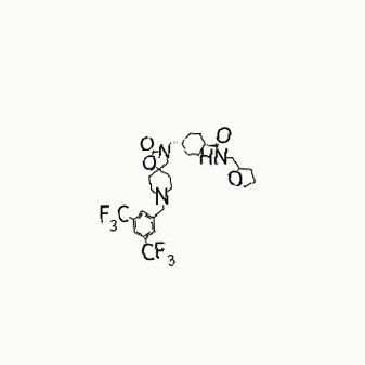 O=C1OC2(CCN(Cc3cc(C(F)(F)F)cc(C(F)(F)F)c3)CC2)CN1C[C@H]1CC[C@H](C(=O)NCC2CCCO2)CC1